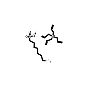 C=CC[N+](CC=C)(CC=C)CC=C.O=S(=O)(CCCCCCCC(F)(F)F)OF